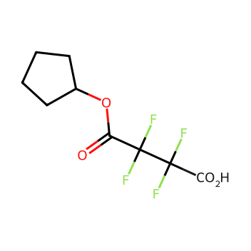 O=C(O)C(F)(F)C(F)(F)C(=O)OC1CCCC1